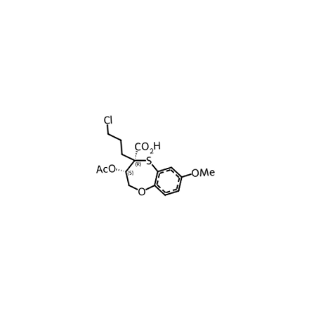 COc1ccc2c(c1)S[C@@](CCCCl)(C(=O)O)[C@@H](OC(C)=O)CO2